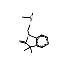 CN(C)CCN1C(=O)C(C)(C)c2ccccc21